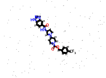 O=C(NC1CCN(C2CCN(C(=O)OCc3ccc(C(F)(F)F)cc3)CC2)C1)c1ccc2[nH]nnc2c1